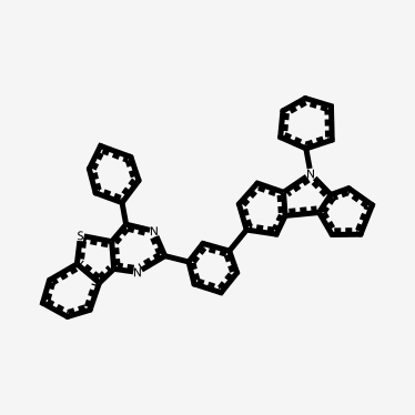 c1ccc(-c2nc(-c3cccc(-c4ccc5c(c4)c4ccccc4n5-c4ccccc4)c3)nc3c2sc2ccccc23)cc1